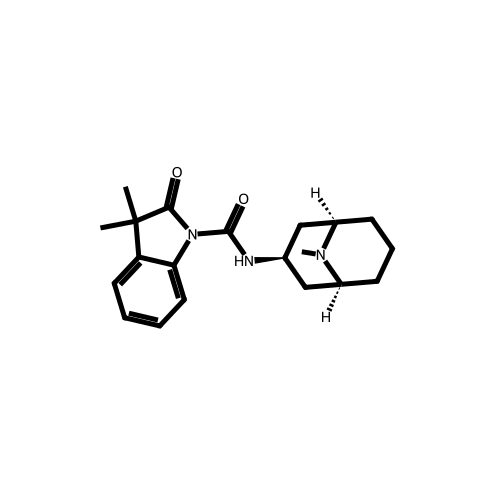 CN1[C@@H]2CCC[C@H]1C[C@@H](NC(=O)N1C(=O)C(C)(C)c3ccccc31)C2